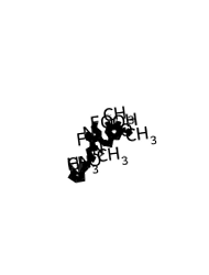 COc1cc(/C=C2\c3cc(F)nc(F)c3C(CC(=O)NCc3cccn3C)N2C)cc(OC)c1O